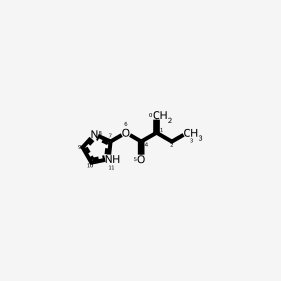 C=C(CC)C(=O)Oc1ncc[nH]1